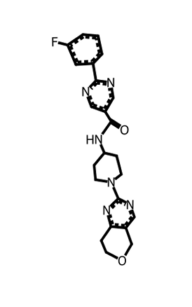 O=C(NC1CCN(c2ncc3c(n2)CCOC3)CC1)c1cnc(-c2cccc(F)c2)nc1